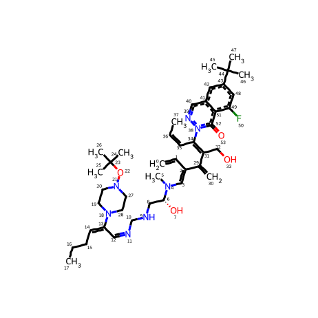 C=C/C(=C\N(C)[C@H](O)CNC/N=C\C(=C/CCC)N1CCN(OC(C)(C)C)CC1)C(=C)/C(CO)=C(\C=C/C)n1ncc2cc(C(C)(C)C)cc(F)c2c1=O